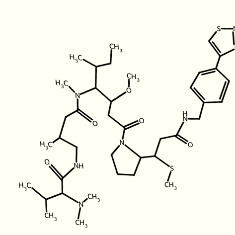 CCC(C)C(C(CC(=O)N1CCCC1C(CC(=O)NCc1ccc(-c2csnn2)cc1)SC)OC)N(C)C(=O)CC(C)CNC(=O)C(C(C)C)N(C)C